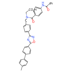 Cc1ccc(-c2ccc(-c3nc(-c4ccc(CN(CC(=O)O)C(=O)c5ccc(NC(=O)C(C)C)cc5)cc4)no3)cc2)cc1